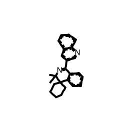 CC1(C)N=C(c2cnc3ccccc3c2)c2ccccc2C12CCCCC2